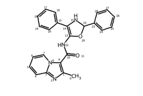 Cc1nc2ccccn2c1C(=O)NC1=C(c2ccccc2)NC(c2ccccc2)O1